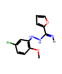 [H]/N=C(\NNc1cc(Br)ccc1OC)c1ccco1